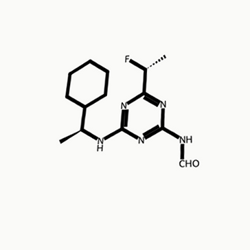 C[C@H](Nc1nc(NC=O)nc([C@@H](C)F)n1)C1CCCCC1